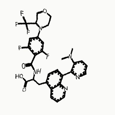 CN(C)c1cccnc1-c1ccc(CC(NC(=O)c2c(F)cc(N3CCOCC3C(F)(F)F)cc2F)C(=O)O)c2cccnc12